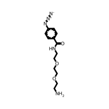 [N-]=[N+]=Nc1ccc(C(=O)NCCOCCOCCN)cc1